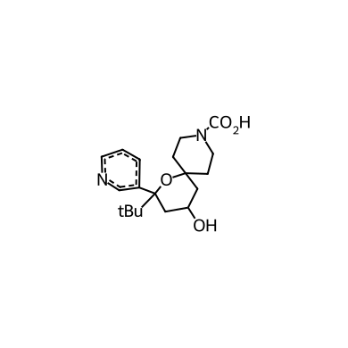 CC(C)(C)C1(c2cccnc2)CC(O)CC2(CCN(C(=O)O)CC2)O1